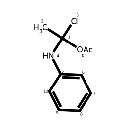 CC(=O)OC(C)(Cl)Nc1ccccc1